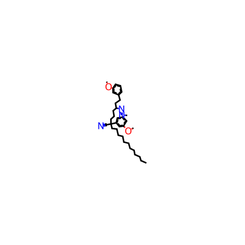 CCCCCCCCCCCCC(C#N)(CCCC(CCc1cccc(OC)c1)/N=N/C)c1cccc(OC)c1